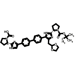 CC(C)(C)OC(=O)N1CCC[C@H]1c1nc(CC2OCCO2)c(-c2ccc(-c3ccc(-c4c[nH]c([C@@H]5CCCN5C(=O)O)n4)cc3)cc2)[nH]1